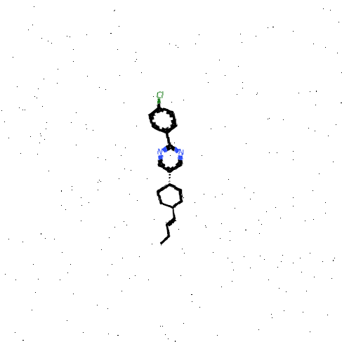 CCC=C[C@H]1CC[C@H](c2cnc(-c3ccc(Cl)cc3)nc2)CC1